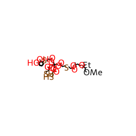 CCC(C)(CCOC)OCCC(C)(C)OC(=O)CCSCCC(=O)OCC(COC(=O)CCS)(COC(=O)CCS)COC(=O)CCSc1cccc(O)c1O